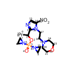 CC(C)C(OP(=O)(N1CC1)N1CC1)c1ncc([N+](=O)[O-])n1CCN1CCOCC1